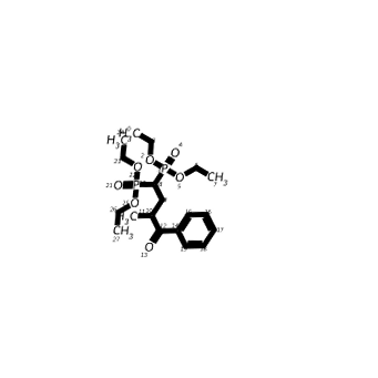 CCOP(=O)(OCC)C(CC(C)C(=O)c1ccccc1)P(=O)(OCC)OCC